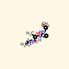 CCc1cc(C(=O)N[C@@H](Cc2ccccc2)[C@H](O)CNCc2cccc(OC)c2)cc(C(=O)N(CC)Cc2nc(C)cs2)c1